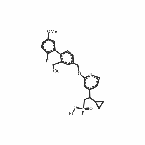 CCOP(C)(=O)CC(c1ccnc(OCc2ccc(-c3cc(OC)ccc3F)c(CC(C)(C)C)c2)c1)C1CC1